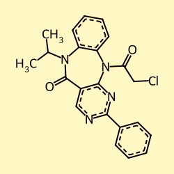 CC(C)N1C(=O)c2cnc(-c3ccccc3)nc2N(C(=O)CCl)c2ccccc21